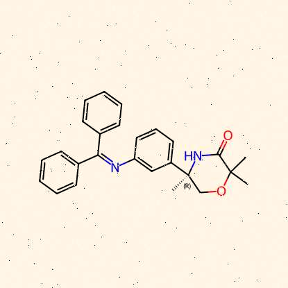 CC1(C)OC[C@@](C)(c2cccc(N=C(c3ccccc3)c3ccccc3)c2)NC1=O